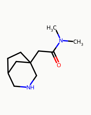 CN(C)C(=O)CC12CCC(CNC1)C2